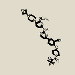 COc1nc(Nc2nccc(-c3ccc(OC4CCN(C(=O)[C@@H]5OCC5(F)F)CC4)c(C#N)c3)n2)ccc1N1CCN(C2COC2)CC1